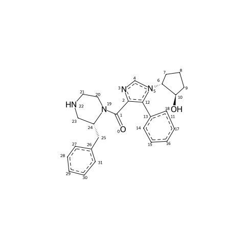 O=C(c1ncn([C@@H]2CCC[C@H]2O)c1-c1ccccc1)N1CCNC[C@H]1Cc1ccccc1